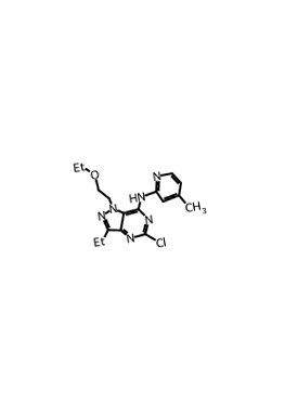 CCOCCn1nc(CC)c2nc(Cl)nc(Nc3cc(C)ccn3)c21